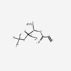 C=CC(=O)ON(C(=O)OCC)C(C)(C)CC(C)(C)CC